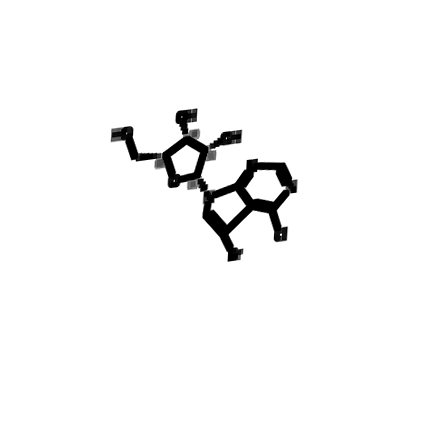 OC[C@H]1O[C@@H](n2cc(Br)c3c(Cl)ncnc32)[C@@H](O)[C@H]1O